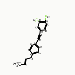 CC=CCc1ccc(C#Cc2ccc(F)c(F)c2)cc1